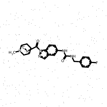 CN1CC2CCC1CN2C(=O)n1ncc2cc(NC(=O)NCc3ccc(F)cc3)ccc21